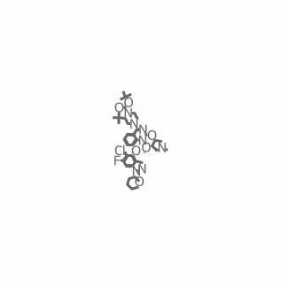 CO[C@@H]1CN(C)C[C@H]1Oc1nc(N2CCN(C(=O)OC(C)(C)C)C(C(C)(C)C)C2)c2cccc(Oc3c(Cl)c(F)cc4c3cnn4C3CCCCO3)c2n1